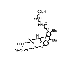 COCCOCCOCCOc1ccc(C(c2cc(C(C)(C)C)c(OCC(=O)NCCS(=O)(=O)CCC(=O)O)cc2OCC(=O)NCCS(=O)(=O)CCC(=O)O)C(C)(C)C)cc1